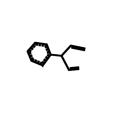 C=C[C](C=C)c1[c]cccc1